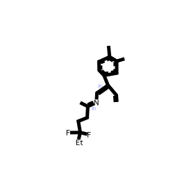 C=C/C(=C\N=C(/C)CCC(F)(F)CC)c1ccc(C)c(C)c1